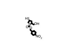 O=C(OCc1ccc([N+](=O)[O-])cc1)N1C[C@@H](S)CC1CO